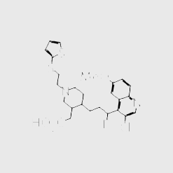 COc1ccc2ncc(Cl)c(C(F)CCC3CCN(CCSc4cccs4)CC3CC(=O)O)c2c1